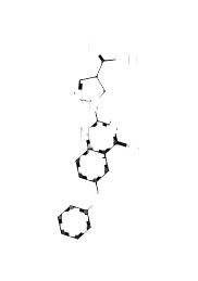 O=C(O)C1C=NN(c2nc3ccc(Oc4ccccc4)cc3c(=O)[nH]2)C1